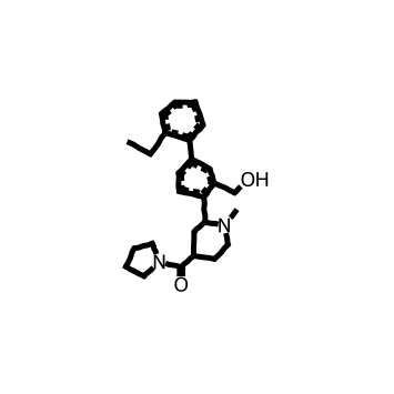 CCc1ccccc1-c1ccc(C2CC(C(=O)N3CCCC3)CCN2C)c(CO)c1